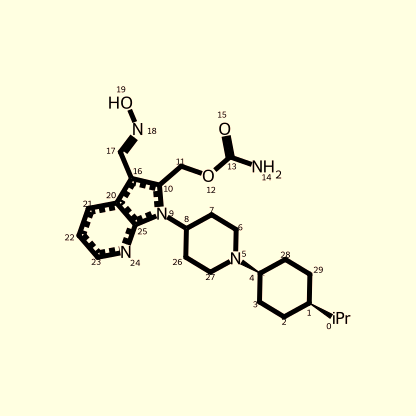 CC(C)[C@H]1CC[C@@H](N2CCC(n3c(COC(N)=O)c(C=NO)c4cccnc43)CC2)CC1